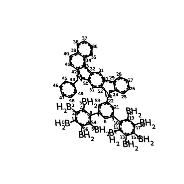 Bc1c(B)c(B)c(-c2cc(-c3c(B)c(B)c(B)c(B)c3B)cc(-n3c4ccccc4c4cc5c6c7ccccc7ccc6n(-c6ccccc6)c5cc43)c2)c(B)c1B